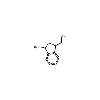 CCC1CN(C)c2ccccc21